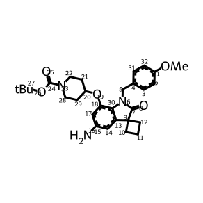 COc1ccc(CN2C(=O)C3(CCC3)c3cc(N)cc(OC4CCN(C(=O)OC(C)(C)C)CC4)c32)cc1